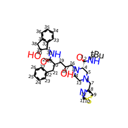 CC(C)(C)NC(=O)[C@@H]1CN(Cc2cscn2)CCN1C[C@@H](O)C[C@@H](Cc1ccccc1)C(=O)N[C@H]1c2ccccc2C[C@H]1O